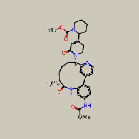 COC(=O)Nc1ccc2c(c1)NC(=O)[C@H](C)CCC[C@H](N1CCC(C3CCCCN3C(=O)OC(C)(C)C)=CC1=O)c1cc-2ccn1